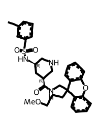 COCCCC1(CNC(=O)[C@@H]2CNC[C@H](NS(=O)(=O)c3cccc(C)c3)C2)c2ccccc2Oc2ccccc21